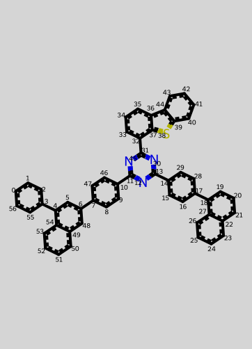 c1ccc(-c2cc(-c3ccc(-c4nc(-c5ccc(-c6cccc7ccccc67)cc5)nc(-c5cccc6c5sc5ccccc56)n4)cc3)cc3ccccc23)cc1